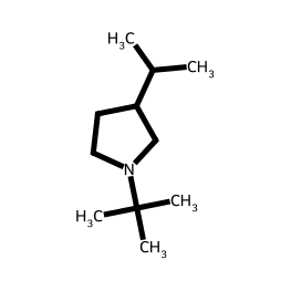 CC(C)C1CCN(C(C)(C)C)C1